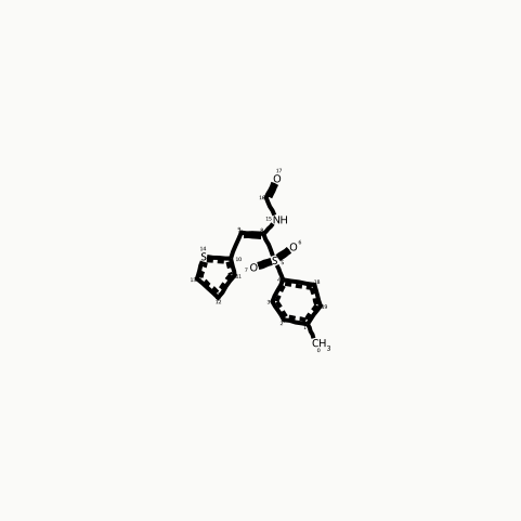 Cc1ccc(S(=O)(=O)/C(=C\c2cccs2)NC=O)cc1